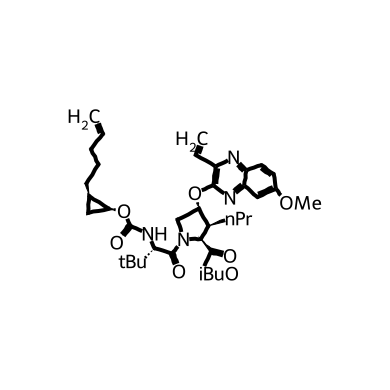 C=CCCC[C@@H]1C[C@H]1OC(=O)N[C@H](C(=O)N1C[C@H](Oc2nc3cc(OC)ccc3nc2C=C)[C@@H](CCC)[C@H]1C(=O)OCC(C)C)C(C)(C)C